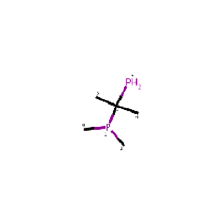 CP(C)C(C)(C)P